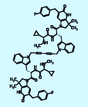 CN[C@H](C(=O)N[C@@H](Cc1cn(CC#CC#CCn2cc(C[C@H](NC(=O)[C@@H](NC)C3CC3)C(=O)N3CC(C)(C)c4[nH]c(=O)c(Cc5ccc(F)cc5)cc43)c3ccccc32)c2ccccc12)C(=O)N1CC(C)(C)c2[nH]c(=O)c(Cc3ccc(F)cc3)cc21)C1CC1